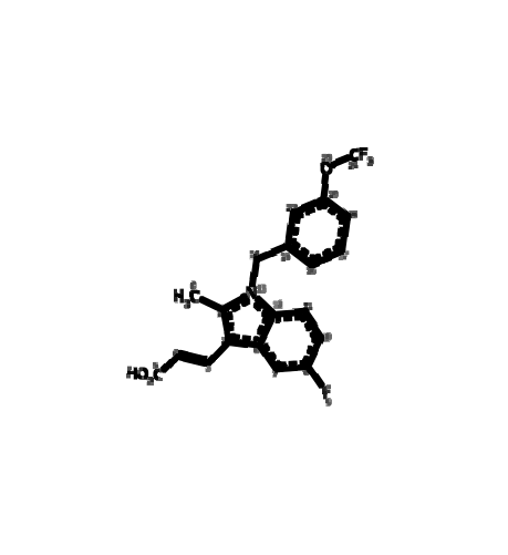 Cc1c(C=CC(=O)O)c2cc(F)ccc2n1Cc1cccc(OC(F)(F)F)c1